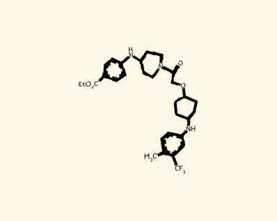 CCOC(=O)c1ccc(NC2CCN(C(=O)COC3CCC(Nc4ccc(C)c(C(F)(F)F)c4)CC3)CC2)cc1